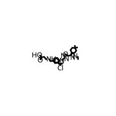 CCn1nc(-c2nc(-n3cc(Cl)c4cc(CNCCC(=O)O)ccc43)no2)c2c1CC(C)(C)CC2